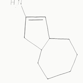 NC1=CC2CCCCCC2C1